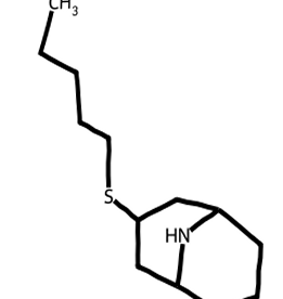 CCCCCSC1CC2CCCC(C1)N2